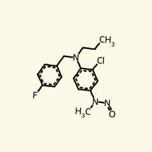 CCCN(Cc1ccc(F)cc1)c1ccc(N(C)N=O)cc1Cl